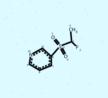 CC(F)S(=O)(=O)c1cccnc1